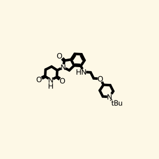 CC(C)(C)N1CCC(OCCNc2cccc3c2CN(C2CCC(=O)NC2=O)C3=O)CC1